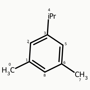 Cc1[c]c(C(C)C)cc(C)c1